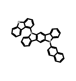 c1ccc2cc(-n3c4ccccc4c4cc5c(cc43)c3ccccc3n5-c3cccc4oc5ccccc5c34)ccc2c1